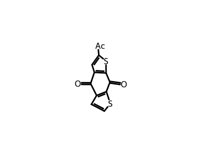 CC(=O)c1cc2c(s1)C(=O)c1sccc1C2=O